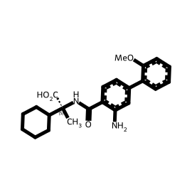 COc1ccccc1-c1ccc(C(=O)N[C@](C)(C(=O)O)C2CCCCC2)c(N)c1